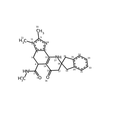 CNC(=O)C1Cc2c(nc(C)n2C)C2=C1C(=O)CC1(Cc3ccccc3C1)N2